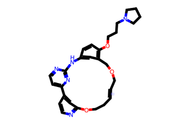 C1=C/COCc2cc(ccc2OCCCN2CCCC2)Nc2nccc(n2)-c2ccnc(c2)OCC/1